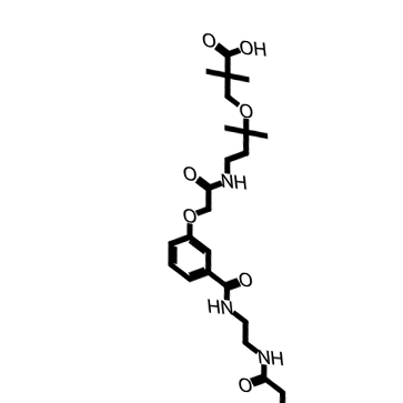 CCC(=O)NCCNC(=O)c1cccc(OCC(=O)NCCC(C)(C)OCC(C)(C)C(=O)O)c1